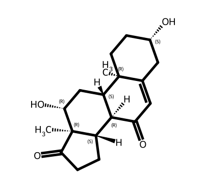 C[C@@]12C(=O)CC[C@H]1[C@@H]1C(=O)C=C3C[C@@H](O)CC[C@]3(C)[C@H]1C[C@H]2O